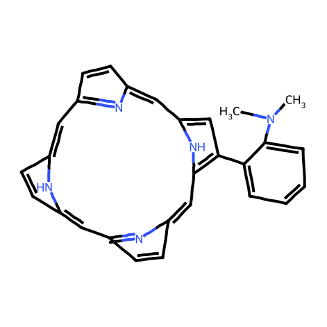 CN(C)c1ccccc1-c1cc2cc3nc(cc4ccc(cc5nc(cc1[nH]2)C=C5)[nH]4)C=C3